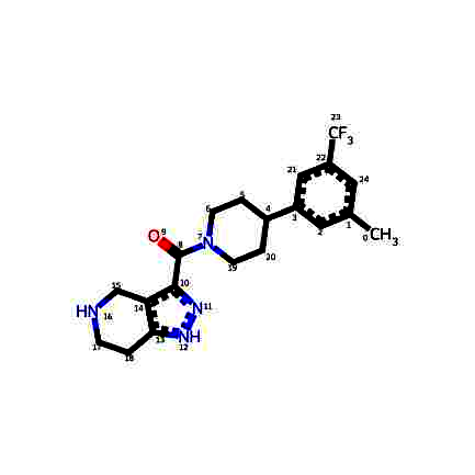 Cc1cc(C2CCN(C(=O)c3n[nH]c4c3CNCC4)CC2)cc(C(F)(F)F)c1